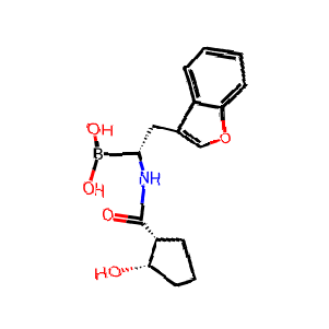 O=C(N[C@@H](Cc1coc2ccccc12)B(O)O)[C@@H]1CCC[C@@H]1O